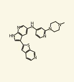 CN1CCN(c2cc(Nc3cnc4[nH]cc(-c5cc6ccncc6s5)c4c3)ccn2)CC1